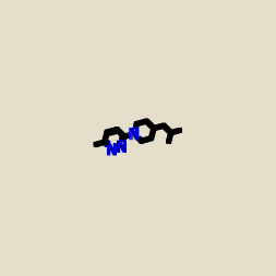 Cc1ccc(N2CCC(CC(C)C)CC2)nn1